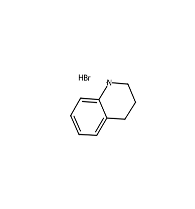 Br.c1ccc2c(c1)CCC[N]2